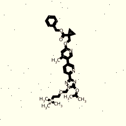 Cc1cc(OCC2(C(=O)OCc3ccccc3)CC2)ncc1-c1ccc(-c2nc(OC(C)C)n(COCCS(C)(C)C)n2)nc1